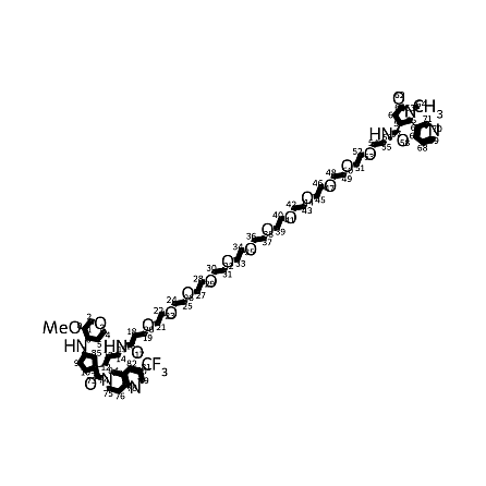 CO[C@@H]1COCC[C@@H]1N[C@@H]1CC[C@](CCCNC(=O)CCOCCOCCOCCOCCOCCOCCOCCOCCOCCOCCOCCOCCNC(=O)[C@H]2CC(=O)N(C)[C@@H]2c2cccnc2)(C(=O)N2CCc3ncc(C(F)(F)F)cc3C2)C1